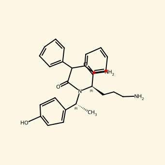 C[C@H](c1ccc(O)cc1)N(C(=O)C(c1ccccc1)c1ccccc1)[C@H](CCCN)C(N)=O